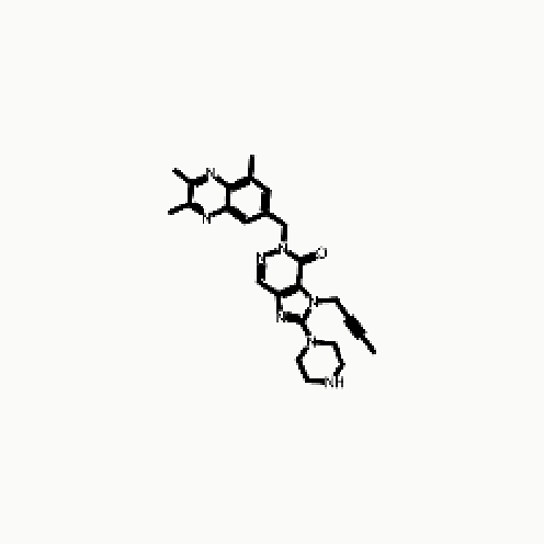 CC#CCn1c(N2CCNCC2)nc2cnn(Cc3cc(C)c4nc(C)c(C)nc4c3)c(=O)c21